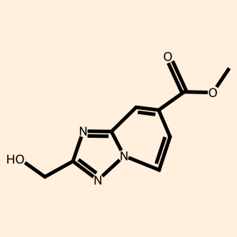 COC(=O)c1ccn2nc(CO)nc2c1